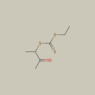 CCSC(=S)SC(C)C(C)=O